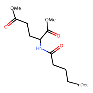 CCCCCCCCCCCCCC(=O)NC(CCC(=O)OC)C(=O)OC